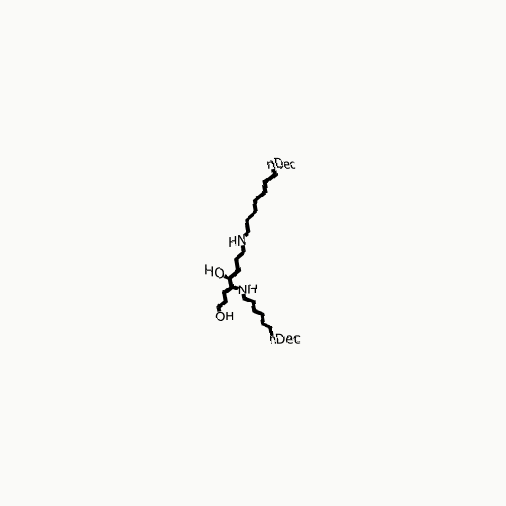 CCCCCCCCCCCCCCCCCNCCCC(O)C(CCCO)NCCCCCCCCCCCCCCCC